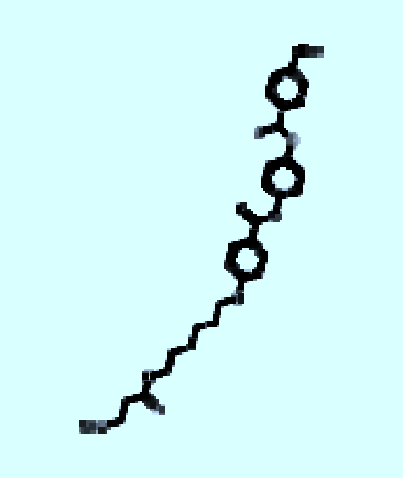 CCCCCCCCCc1ccc(C(=O)Oc2ccc(OC(=O)c3ccc(OCCCCCCOC(=O)CCC=O)cc3)cc2)cc1